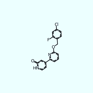 O=c1cc(-c2cccc(OCc3ccc(Cl)cc3F)n2)cc[nH]1